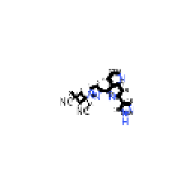 C[C@]1(C#N)C[C@](CC#N)(n2ccc(-c3nc(-c4cn[nH]c4)cc4ncccc34)n2)C1